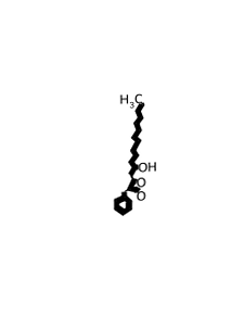 CCCCCCCCCCCC(O)C[C@H]1OC(=O)[C@@H]1Cc1ccccc1